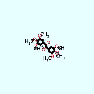 COc1cc(C(=O)C(=O)c2cc(OC)c(OC)c(OC)c2)cc(OC)c1OC